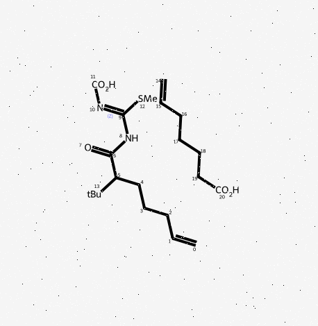 C=CCCCC(C(=O)N/C(=N/C(=O)O)SC)C(C)(C)C.C=CCCCCC(=O)O